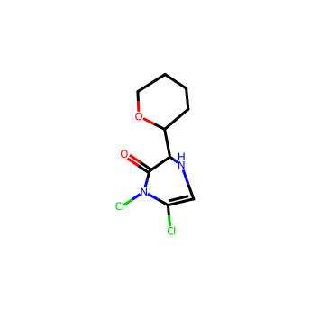 O=C1C(C2CCCCO2)NC=C(Cl)N1Cl